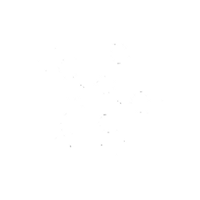 Cc1cc(C)c(-c2cc3c4c(c2)N(c2ccc5c(c2)C(C)(C)CCC5(C)C)c2sc5cc6c(cc5c2B4c2cc4c(cc2N3c2ccc(C(C)(C)C)cc2C)C(C)(C)CCC4(C)C)C2(C)CCC6(C)C2)c(C)c1